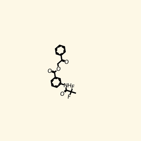 CC(F)(F)C(=O)Nc1cccc(C(=O)OCC(=O)c2ccccc2)c1